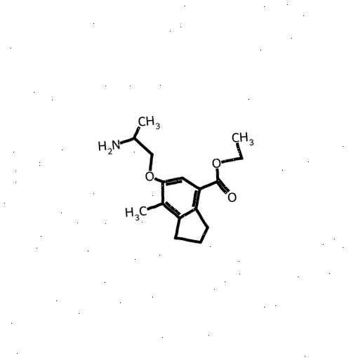 CCOC(=O)c1cc(OCC(C)N)c(C)c2c1CCC2